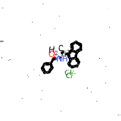 [CH2]=[Ti+2]([NH]C(=O)c1ccccc1)[CH]1c2ccccc2-c2ccccc21.[Cl-].[Cl-]